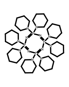 C1CCN(P2(N3CCCCC3)=NP(N3CCCCC3)(N3CCCCC3)=NP(N3CCCCC3)(N3CCCCC3)=NP(N3CCCCC3)(N3CCCCC3)=N2)CC1